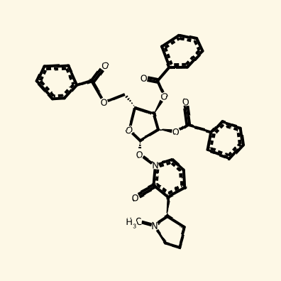 CN1CCC[C@@H]1c1cccn(O[C@@H]2O[C@H](COC(=O)c3ccccc3)[C@@H](OC(=O)c3ccccc3)[C@H]2OC(=O)c2ccccc2)c1=O